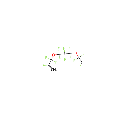 C=C(F)C(F)(F)OC(F)(F)C(F)(F)C(F)(F)OC(F)(F)CF